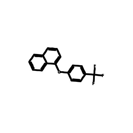 FC(F)(F)c1c[c]c(Oc2cccc3ccccc23)cc1